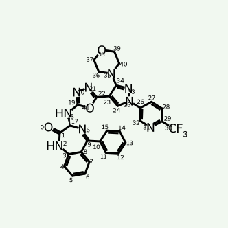 O=C1Nc2ccccc2C(c2ccccc2)=N[C@@H]1Nc1nnc(-c2cn(-c3ccc(C(F)(F)F)nc3)nc2N2CCOCC2)o1